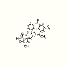 C[C@@H](OC[C@]1(c2ccccc2)CC[C@@](CCO)(n2cn[nH]c2=O)CC1)c1cc(CF)cc(CF)c1